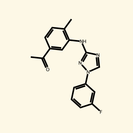 CC(=O)c1ccc(C)c(Nc2ncn(-c3cccc(F)c3)n2)c1